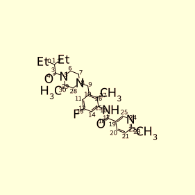 CCC(CC)C(=O)N1CCN(Cc2cc(F)cc(NC(=O)c3ccc(C)nc3)c2C)C[C@@H]1C